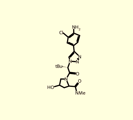 CNC(=O)C1CC(O)CN1C(=O)[C@@H](n1cc(-c2ccc(N)c(Cl)c2)nn1)C(C)(C)C